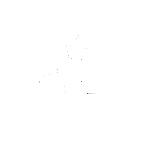 O=C([O-])C=Cc1c[nH]cn1.O=C([O-])CO.[Zn+2]